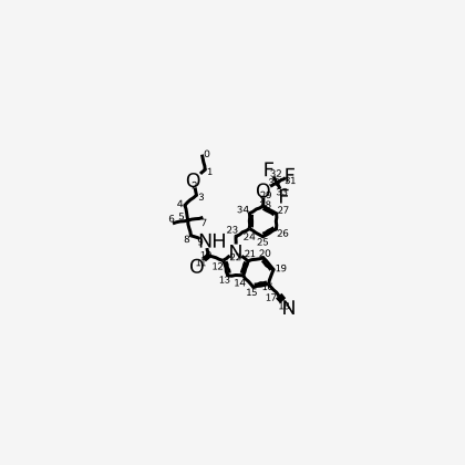 CCOCCC(C)(C)CNC(=O)c1cc2cc(C#N)ccc2n1Cc1cccc(OC(F)(F)F)c1